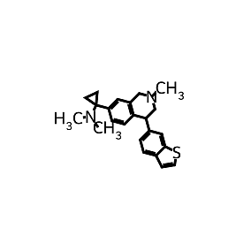 CN1Cc2cc(C3(N(C)C)CC3)ccc2C(c2ccc3ccsc3c2)C1